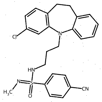 CN=S(=O)(NCCCN1c2ccccc2CCc2ccc(Cl)cc21)c1ccc(C#N)cc1